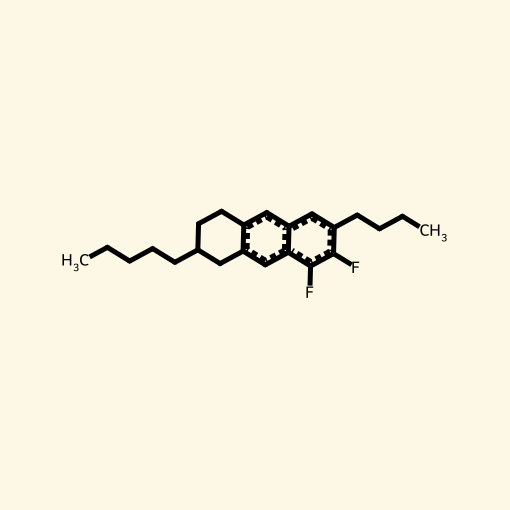 CCCCCC1CCc2cc3cc(CCCC)c(F)c(F)c3cc2C1